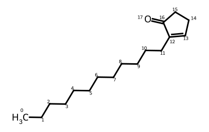 CCCCCCCCCCCCC1=CCCC1=O